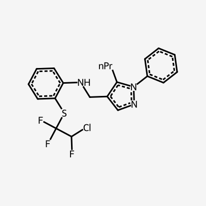 CCCc1c(CNc2ccccc2SC(F)(F)C(F)Cl)cnn1-c1ccccc1